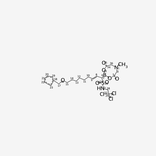 CN1CC(=O)OB(C(/C=C/CCCCCCOCc2ccccc2)S(=O)(=O)NCC(Cl)(Cl)Cl)OC(=O)C1